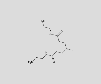 CN(CCC(=O)NCCN)CCC(=O)NCCN